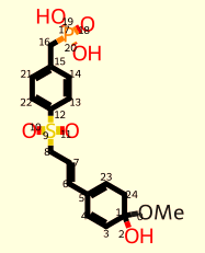 COC1(O)C=CC(C=CCS(=O)(=O)c2ccc(CP(=O)(O)O)cc2)=CC1